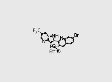 CCS(=O)(=O)c1cc2ccc(Br)cc2nc1-c1[nH]c2cc(C(F)(F)F)cnc2c1F